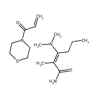 C=CC(=O)N1CCOCC1.CCC/C(=C(/C)C(N)=O)N(C)C